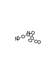 c1ccc2cc(-c3cc4c5ccccc5c5ncc(-c6ccc(-c7ccncc7)cc6)cc5c4c4ccccc34)ccc2c1